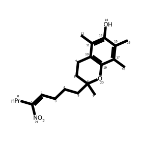 CCCC(=CCCCC1(C)CCc2c(C)c(O)c(C)c(C)c2O1)[N+](=O)[O-]